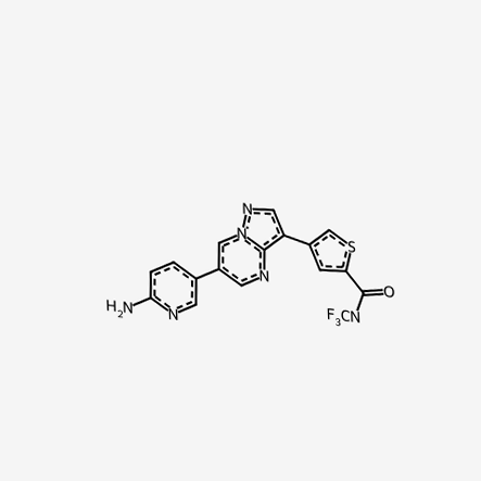 Nc1ccc(-c2cnc3c(-c4csc(C(=O)NC(F)(F)F)c4)cnn3c2)cn1